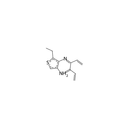 C=CC(=C)/C(C=C)=N\c1c(N)csc1CC